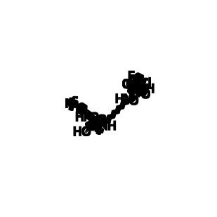 Cc1ncsc1-c1ccc(CNC(=O)[C@@H]2C[C@@H](O)CN2C(=O)C(NC(=O)CCCCCCCCCNC(=O)c2cc([N+](=O)[O-])c3n2CC(=O)NC3c2cc(F)ccc2Cl)C(C)(C)C)cc1